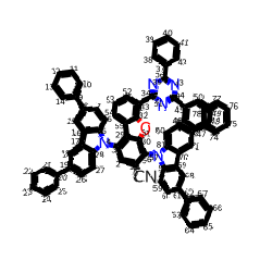 N#Cc1cc(-n2c3ccc(-c4ccccc4)cc3c3cc(-c4ccccc4)ccc32)c2c(oc3c(-c4nc(-c5ccccc5)nc(-c5ccccc5)n4)cccc32)c1-n1c2ccc(-c3ccccc3)cc2c2cc(-c3ccccc3)ccc21